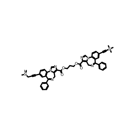 C[SiH](C)CC#Cc1ccc2c(c1)C(c1ccccc1)=NCc1c(C(=O)OCCCOC(=O)c3ncn4c3CN=C(c3ccccc3)c3cc(C#C[Si](C)(C)C)ccc3-4)ncn1-2